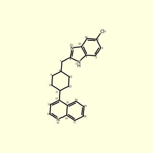 Clc1ccc2[nH]c(CC3CCC(c4ccnc5ccccc45)CC3)nc2c1